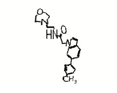 Cc1ccc(-c2ccc3ccn(CC(=O)NCCN4CCOCC4)c3c2)cc1